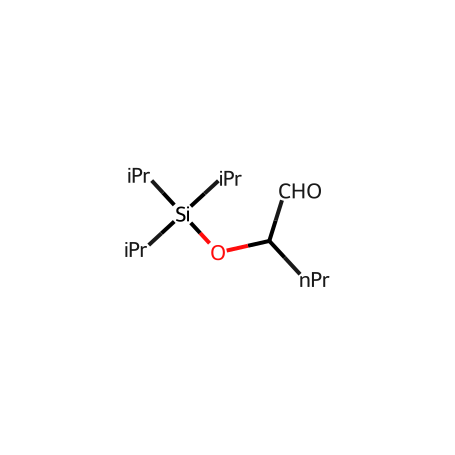 CCCC(C=O)O[Si](C(C)C)(C(C)C)C(C)C